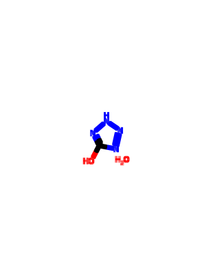 O.Oc1nn[nH]n1